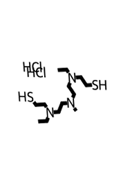 CCN(CCS)CCN(C)CCN(CC)CCS.Cl.Cl